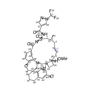 CO[C@H]1/C=C/C[C@H](C)C[S@@](=O)(NC(=O)c2cnn(C(F)F)c2)=NC(=O)c2ccc3c(c2)N(C[C@@H]2CC[C@H]21)C[C@@]1(CCCc2cc(Cl)ccc21)CO3